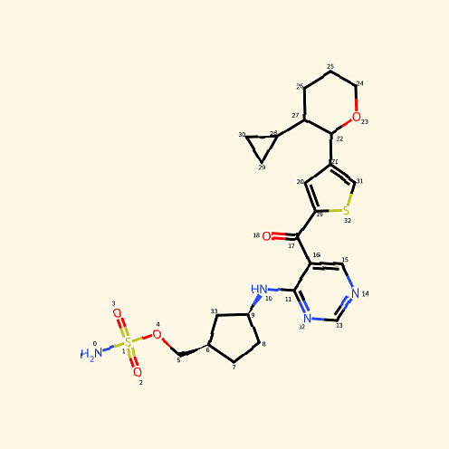 NS(=O)(=O)OC[C@@H]1CC[C@H](Nc2ncncc2C(=O)c2cc(C3OCCCC3C3CC3)cs2)C1